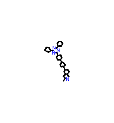 Cc1cc2cc(-c3ccc(-c4ccc(-c5nc(-c6ccccc6)nc(-c6ccccc6)n5)cc4)cc3)ccc2cn1